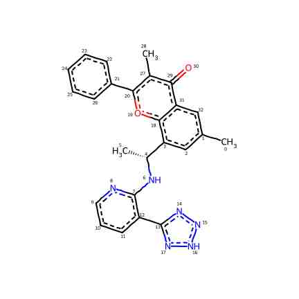 Cc1cc([C@@H](C)Nc2ncccc2-c2nn[nH]n2)c2oc(-c3ccccc3)c(C)c(=O)c2c1